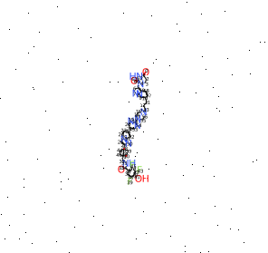 O=C1CCN(c2cnn3cc(CCCN4CCN(c5ncc(-c6ccn7cc([C@]89CC[C@](CNC(=O)c%10cc(F)c(O)c(F)c%10F)(CC8)CC9)nc7c6)cn5)CC4)ccc23)C(=O)N1